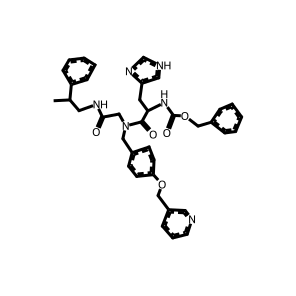 CC(CNC(=O)CN(Cc1ccc(OCc2cccnc2)cc1)C(=O)C(Cc1c[nH]cn1)NC(=O)OCc1ccccc1)c1ccccc1